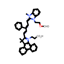 CN1/C(=C/C=C(/C=C/C2=[N+](CCC(=O)O)c3c(c4ccccc4c4ccccc34)C2(C)C)c2ccccc2)N(CCOC=O)c2ccccc21